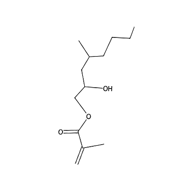 C=C(C)C(=O)OCC(O)CC(C)CCCC